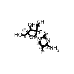 C#C[C@@]1(F)C(O)[C@@](F)(CO)O[C@H]1n1cc(F)c(N)nc1=S